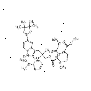 CCn1c(-c2cccnc2[C@H](C)OC)c(CC(C)(C)COC(=O)[C@@H]2[C@@H](C)CCN(C(=O)OC(C)(C)C)N2C(=O)OC(C)(C)C)c2cc(B3OC(C)(C)C(C)(C)O3)ccc21